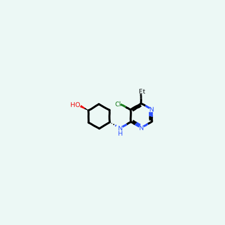 CCc1ncnc(N[C@H]2CC[C@H](O)CC2)c1Cl